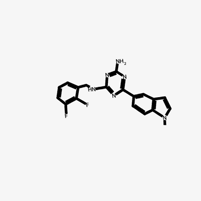 Cn1ccc2cc(-c3nc(N)nc(NCc4cccc(F)c4F)n3)ccc21